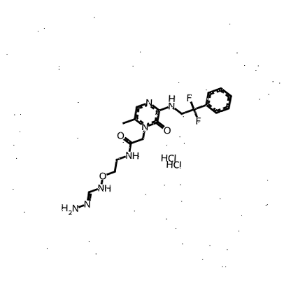 Cc1cnc(NCC(F)(F)c2ccccc2)c(=O)n1CC(=O)NCCONC=NN.Cl.Cl